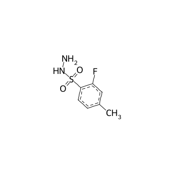 Cc1ccc(S(=O)(=O)NN)c(F)c1